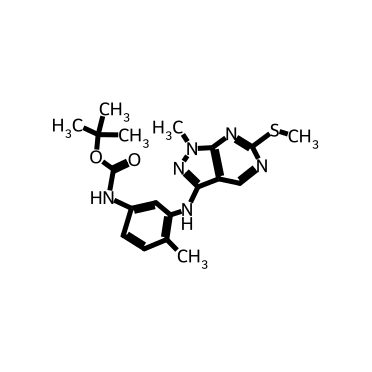 CSc1ncc2c(Nc3cc(NC(=O)OC(C)(C)C)ccc3C)nn(C)c2n1